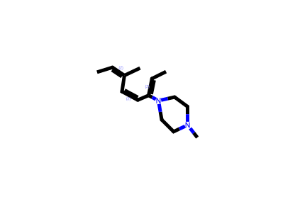 C\C=C(C)/C=C\C(=C\C)N1CCN(C)CC1